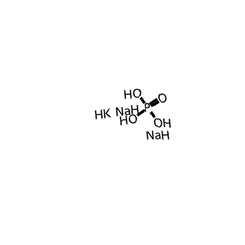 O=P(O)(O)O.[KH].[NaH].[NaH]